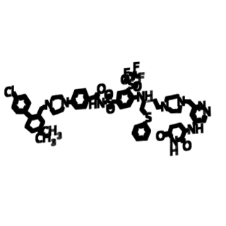 CC1(C)CCC(c2ccc(Cl)cc2)=C(CN2CCN(c3ccc(C(=O)NS(=O)(=O)c4ccc(N[C@H](CCN5CCN(Cc6cc(NC7CCC(=O)NC7=O)cnn6)CC5)CSc5ccccc5)c(S(=O)(=O)C(F)(F)F)c4)cc3)CC2)C1